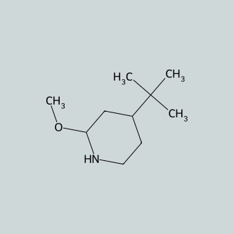 COC1CC(C(C)(C)C)CCN1